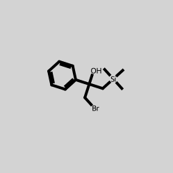 C[Si](C)(C)CC(O)(CBr)c1ccccc1